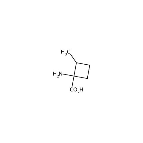 CC1CCC1(N)C(=O)O